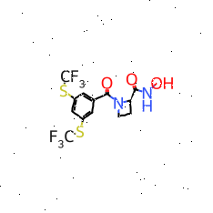 O=C(NO)[C@H]1CCN1C(=O)c1cc(SC(F)(F)F)cc(SC(F)(F)F)c1